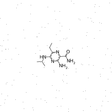 CCc1nc(C(N)=O)c(N)nc1NC(C)C